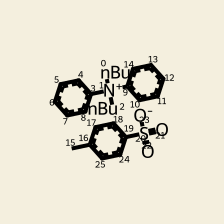 CCCC[N+](CCCC)(c1ccccc1)c1ccccc1.Cc1ccc(S(=O)(=O)[O-])cc1